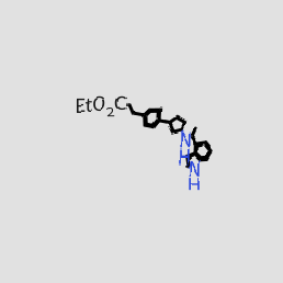 CCOC(=O)CCc1ccc(C2CCC(NC(C)c3cccc4[nH]ccc34)C2)cc1